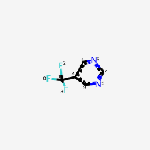 FC(F)(F)c1[c]ncnc1